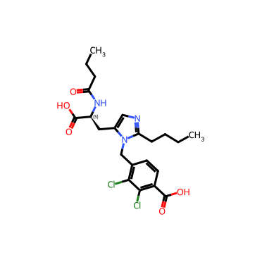 CCCCc1ncc(C[C@H](NC(=O)CCC)C(=O)O)n1Cc1ccc(C(=O)O)c(Cl)c1Cl